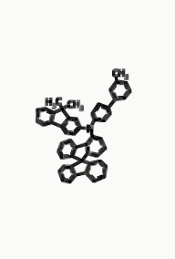 Cc1cccc(-c2ccc(N(c3ccc4c(c3)C(C)(C)c3ccccc3-4)c3cccc4c3-c3ccccc3C43c4ccccc4-c4ccccc43)cc2)c1